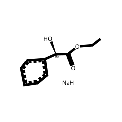 CCOC(=O)[C@H](O)c1ccccc1.[NaH]